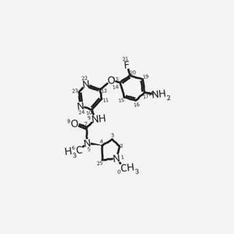 CN1CC[C@H](N(C)C(=O)Nc2cc(Oc3ccc(N)cc3F)ncn2)C1